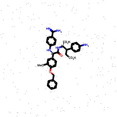 COc1cc([C@@H](Nc2ccc(C(=N)N)cc2)C(=O)N[C@H](C(=O)O)C(CC(=O)O)c2ccc(N)cc2)ccc1OCc1ccccc1